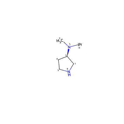 CC(C)N(C)[C@@H]1CCNC1